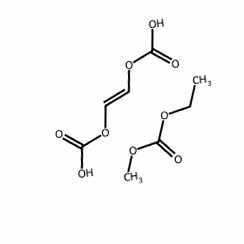 CCOC(=O)OC.O=C(O)O/C=C/OC(=O)O